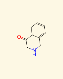 O=C1CNCC2=CC=CCC12